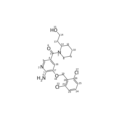 Nc1ncc(C(=O)N2CCCCC2CCO)cc1OCc1c(Cl)cccc1Cl